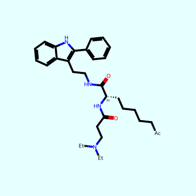 CCN(CC)CCC(=O)N[C@@H](CCCCCC(C)=O)C(=O)NCCc1c(-c2ccccc2)[nH]c2ccccc12